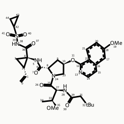 C=C[C@@H]1C[C@]1(NC(=O)[C@@H]1C[C@@H](Oc2nccc3cc(OC)ccc23)CN1C(=O)[C@@H](NC(=O)CC(C)(C)C)[C@H](C)OC)C(=O)NS(=O)(=O)C1CC1